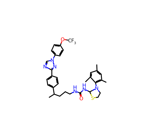 Cc1cc(C)c(N2CCSC2NC(=O)NCCCC(C)c2ccc(-c3ncn(-c4ccc(OC(F)(F)F)cc4)n3)cc2)c(C)c1